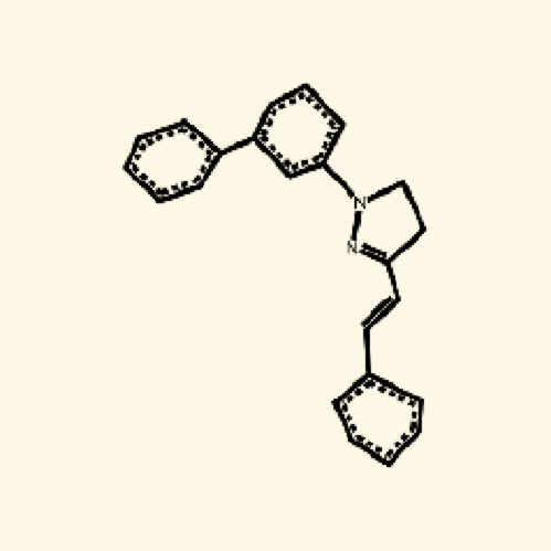 C(=Cc1ccccc1)C1=NN(c2cccc(-c3ccccc3)c2)CC1